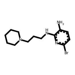 Nc1ccc(Br)nc1NCCCN1CCCCC1